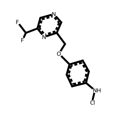 FC(F)c1cncc(COc2ccc(NCl)cc2)n1